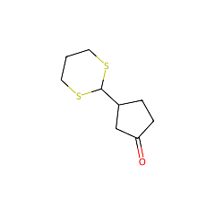 O=C1CCC(C2SCCCS2)C1